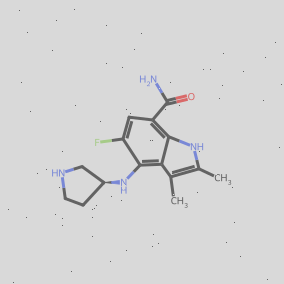 Cc1[nH]c2c(C(N)=O)cc(F)c(N[C@H]3CCNC3)c2c1C